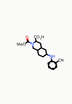 COC(=O)N1CC2CCC(Nc3ccccc3C#N)CC2CC1C(=O)O